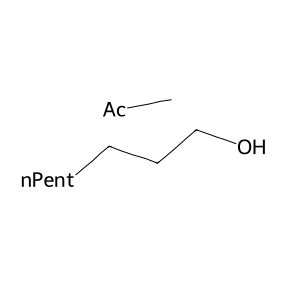 CC(C)=O.CCCCCCCCO